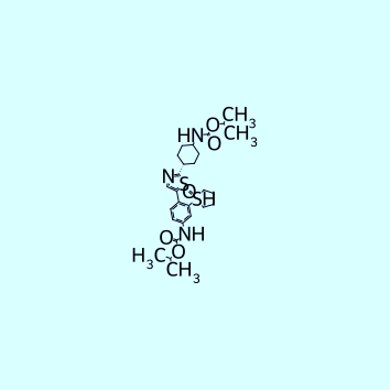 CC(C)OC(=O)Nc1ccc(-c2cnc([C@H]3CC[C@H](NC(=O)OC(C)C)CC3)s2)c([SH]2(=O)CCCC2)c1